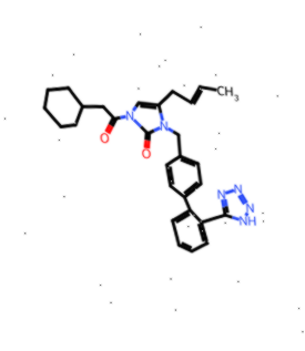 C/C=C/Cc1cn(C(=O)CC2CCCCC2)c(=O)n1Cc1ccc(-c2ccccc2-c2nnn[nH]2)cc1